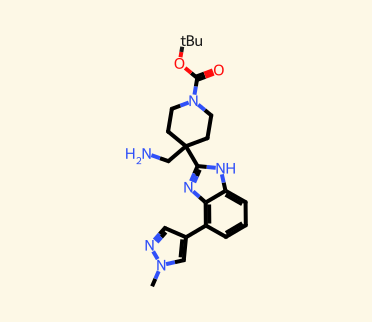 Cn1cc(-c2cccc3[nH]c(C4(CN)CCN(C(=O)OC(C)(C)C)CC4)nc23)cn1